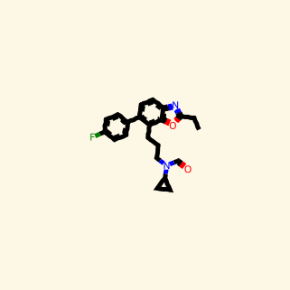 CCc1nc2ccc(-c3ccc(F)cc3)c(CCCN(C=O)C3CC3)c2o1